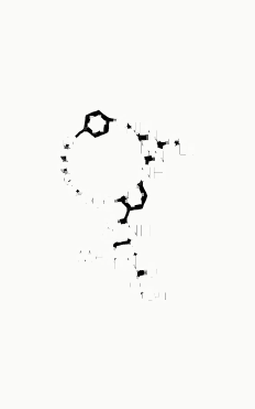 CCOc1nc2nc(n1)Nc1ccc(C(=O)N[C@H](CNC(=O)OC(C)(C)C)C(=O)OC)c(c1)OCCCCCCOc1ccc(cc1)CN2